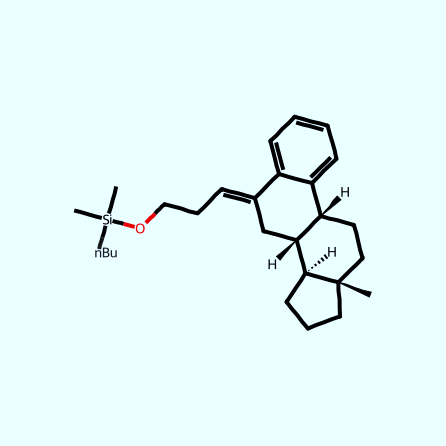 CCCC[Si](C)(C)OCCC=C1C[C@@H]2[C@@H](CC[C@]3(C)CCC[C@@H]23)c2ccccc21